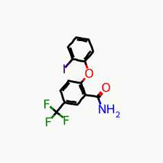 NC(=O)c1cc(C(F)(F)F)ccc1Oc1ccccc1I